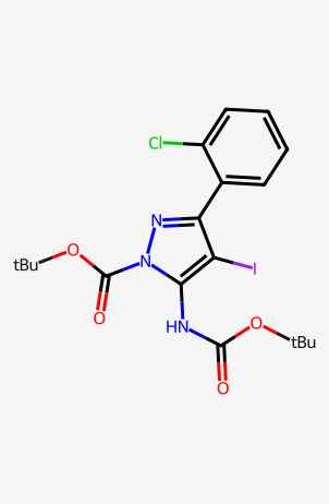 CC(C)(C)OC(=O)Nc1c(I)c(-c2ccccc2Cl)nn1C(=O)OC(C)(C)C